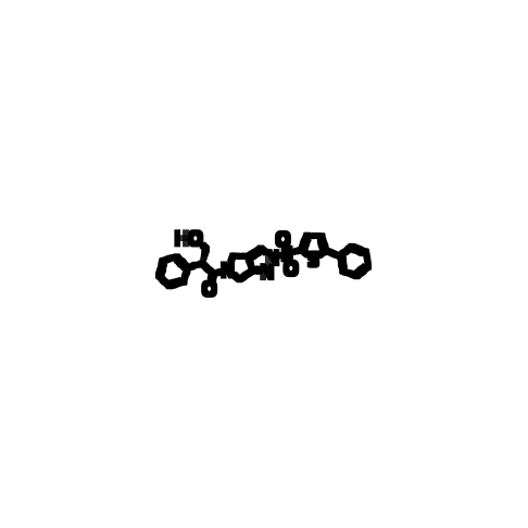 O=C([C@H](CO)c1ccccc1)N1Cc2cn(S(=O)(=O)c3ccc(-c4ccccc4)s3)nc2C1